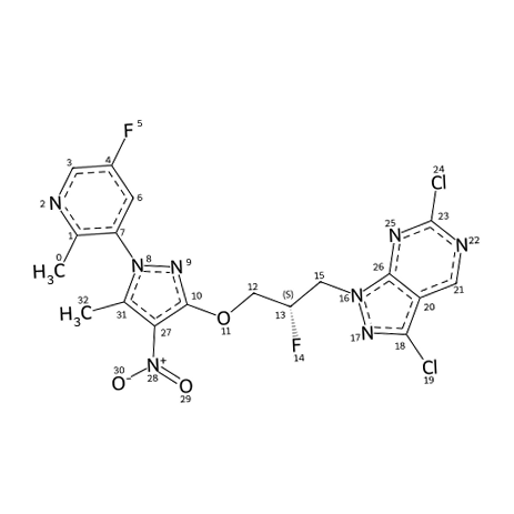 Cc1ncc(F)cc1-n1nc(OC[C@@H](F)Cn2nc(Cl)c3cnc(Cl)nc32)c([N+](=O)[O-])c1C